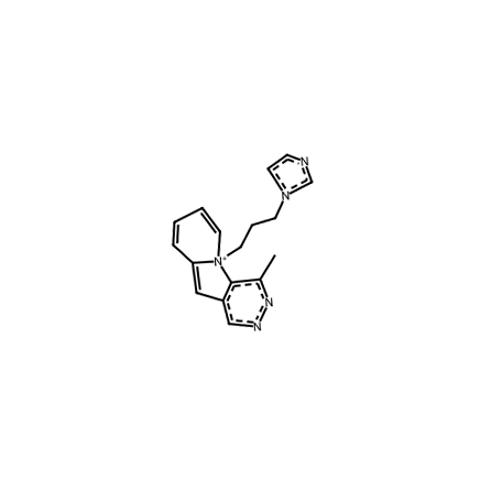 Cc1nncc2c1[N+]1(CCCn3ccnc3)C=CC=CC1=C2